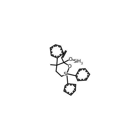 C=CC1(O[SiH3])O[Si](c2ccccc2)(c2ccccc2)CCC1(C)c1ccccc1